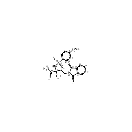 COc1ccc(S(=O)(=O)NC(O)(CCN2C(=O)c3ccccc3C2=O)C(N)=O)cc1